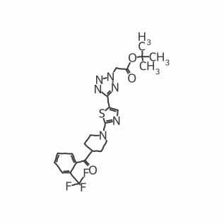 CC(C)(C)OC(=O)Cn1nnc(-c2cnc(N3CCC(C(=O)c4ccccc4C(F)(F)F)CC3)s2)n1